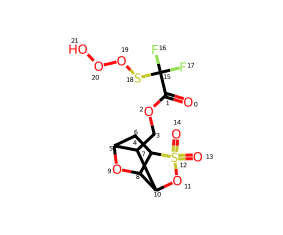 O=C(OCC1C2CC3C(O2)C1OS3(=O)=O)C(F)(F)SOOO